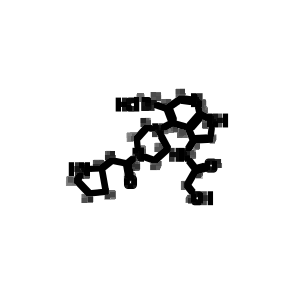 Cl.O=C(CO)Nc1c[nH]c2ncc(Br)c(N3CCN(C(=O)CC4CCCN4)CC3)c12